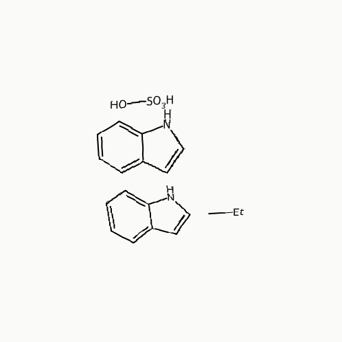 CCC.O=S(=O)(O)O.c1ccc2[nH]ccc2c1.c1ccc2[nH]ccc2c1